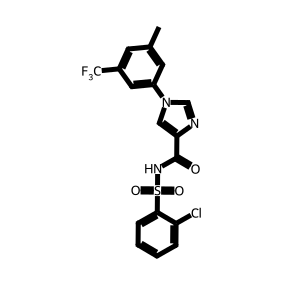 Cc1cc(-n2cnc(C(=O)NS(=O)(=O)c3ccccc3Cl)c2)cc(C(F)(F)F)c1